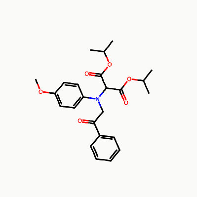 COc1ccc(N(CC(=O)c2ccccc2)C(C(=O)OC(C)C)C(=O)OC(C)C)cc1